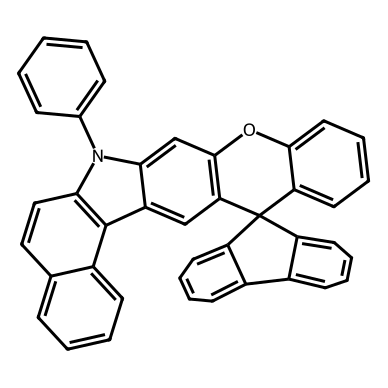 c1ccc(-n2c3cc4c(cc3c3c5ccccc5ccc32)C2(c3ccccc3O4)c3ccccc3-c3ccccc32)cc1